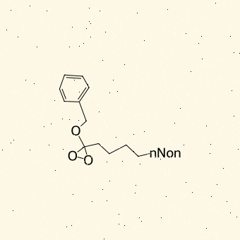 CCCCCCCCCCCCCC1(OCc2ccccc2)OO1